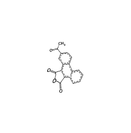 CC(=O)c1ccc2c(c1)c1c(c3ccccc32)C(=O)OC1=O